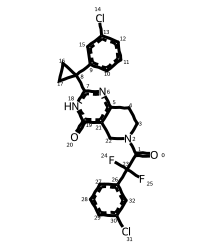 O=C(N1CCc2nc(C3(c4cccc(Cl)c4)CC3)[nH]c(=O)c2C1)C(F)(F)c1cccc(Cl)c1